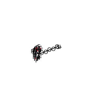 CC(C)(C)[Si](C)(C)OCCOCCOCCOCCOCC(COC(C(F)(F)F)(C(F)(F)F)C(F)(F)F)(COC(C(F)(F)F)(C(F)(F)F)C(F)(F)F)COC(C(F)(F)F)(C(F)(F)F)C(F)(F)F